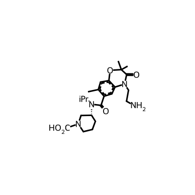 Cc1cc2c(cc1C(=O)N(C(C)C)[C@@H]1CCCN(C(=O)O)C1)N(CCN)C(=O)C(C)(C)O2